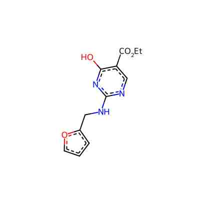 CCOC(=O)c1cnc(NCc2ccco2)nc1O